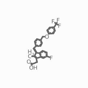 CC1=C(CC(=O)O)c2cc(F)ccc2/C1=C\c1ccc(COc2ccc(C(F)(F)F)cc2)cc1